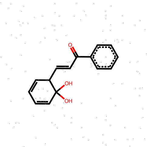 O=C(C=CC1C=CC=CC1(O)O)c1ccccc1